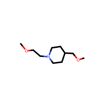 COCCN1CCC(COC)CC1